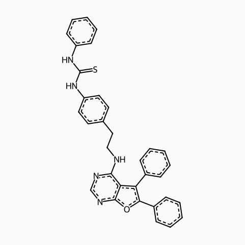 S=C(Nc1ccccc1)Nc1ccc(CCNc2ncnc3oc(-c4ccccc4)c(-c4ccccc4)c23)cc1